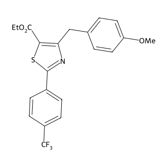 CCOC(=O)c1sc(-c2ccc(C(F)(F)F)cc2)nc1Cc1ccc(OC)cc1